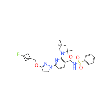 C[C@@H]1CN(c2nc(-n3ccc(OCC45CC(F)(C4)C5)n3)ccc2C(=O)NS(=O)(=O)c2ccccc2)C(C)(C)C1